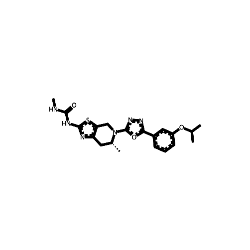 CNC(=O)Nc1nc2c(s1)CN(c1nnc(-c3cccc(OC(C)C)c3)o1)[C@H](C)C2